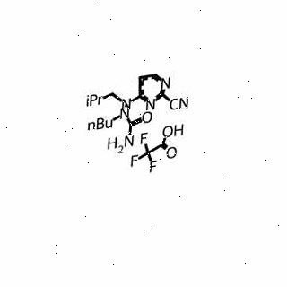 CCCCN(C(N)=O)N(CC(C)C)c1ccnc(C#N)n1.O=C(O)C(F)(F)F